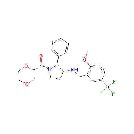 COc1ccc(C(F)(F)F)cc1CNC1CCN(C(=O)C2COCCO2)C1c1ccccc1